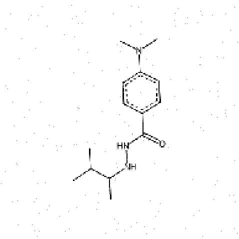 CC(C)C(C)NNC(=O)c1ccc(N(C)C)cc1